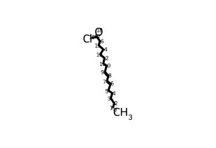 CCCCCCC=CC=CCCCCCCCC(=O)Cl